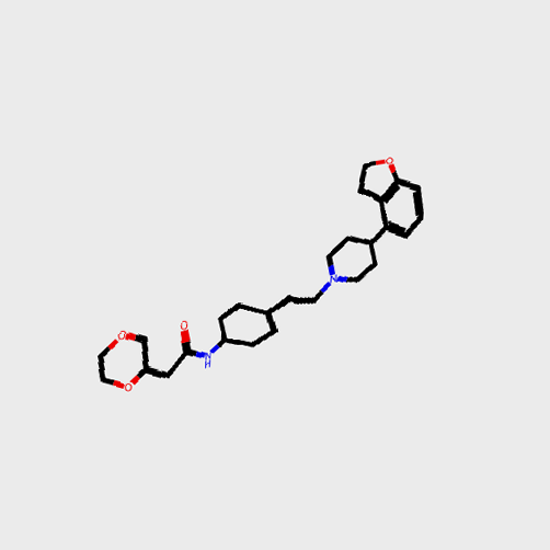 O=C(CC1COCCO1)NC1CCC(CCN2CCC(c3cccc4c3CCO4)CC2)CC1